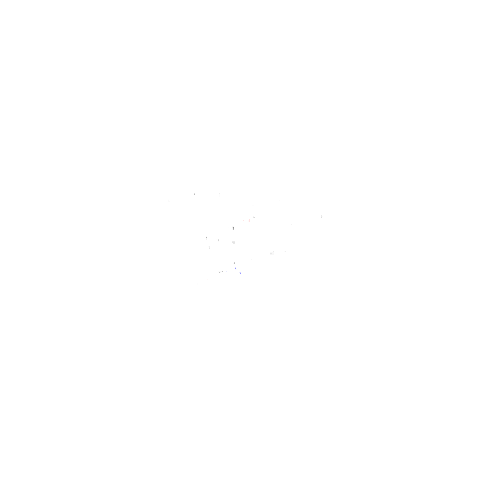 COc1ccc(Cl)c2c1[C@]1(CC2)C(=O)Nc2cc(C(F)(F)F)ccc21